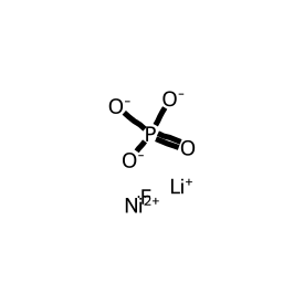 O=P([O-])([O-])[O-].[F].[Li+].[Ni+2]